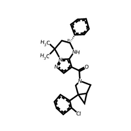 CC1(C)C[C@H](c2ccccc2)Nc2c(C(=O)N3CC4CC4(c4ccccc4Cl)C3)cnn21